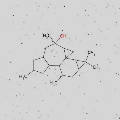 CC1CC2CC(C)(O)C3CC34C(C(C)CC3C4C3(C)C)C2C1